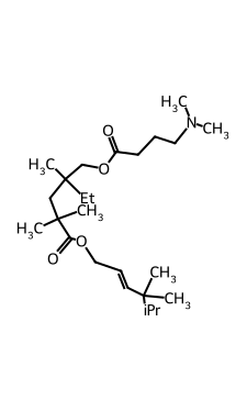 CCC(C)(COC(=O)CCCN(C)C)CC(C)(C)C(=O)OC/C=C/C(C)(C)C(C)C